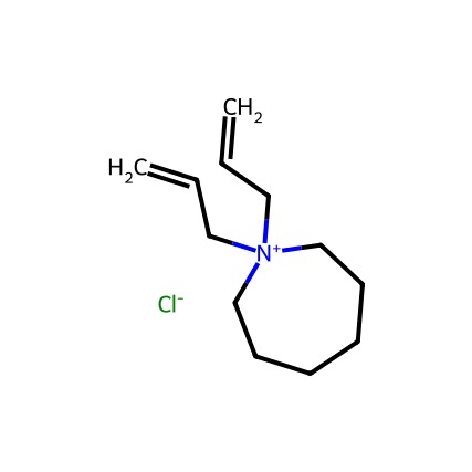 C=CC[N+]1(CC=C)CCCCCC1.[Cl-]